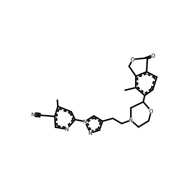 Cc1cc(-n2cc(CCN3CCOC(c4ccc5c(c4C)COC5=O)C3)cn2)ncc1C#N